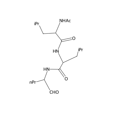 CCCC(C=O)NC(=O)C(CC(C)C)NC(=O)C(CC(C)C)NC(C)=O